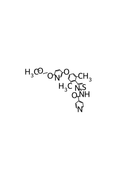 COCCOc1ccc(Oc2cc(C)c(-c3csc(NC(=O)c4ccncc4)n3)c(C)c2)cn1